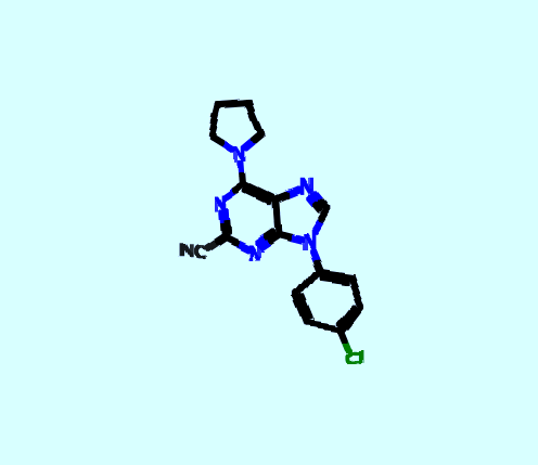 N#Cc1nc(N2CCCC2)c2ncn(-c3ccc(Cl)cc3)c2n1